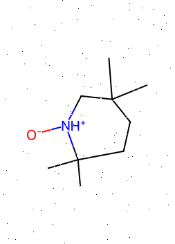 CC1(C)CCC(C)(C)[NH+]([O-])C1